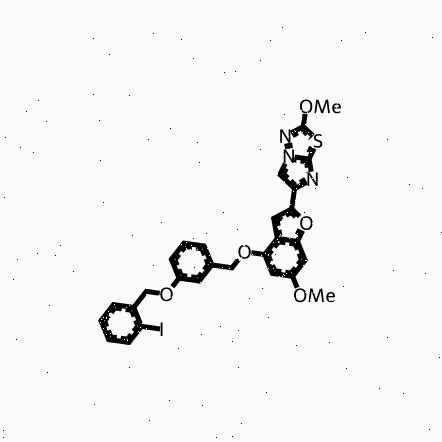 COc1cc(OCc2cccc(OCc3ccccc3I)c2)c2cc(-c3cn4nc(OC)sc4n3)oc2c1